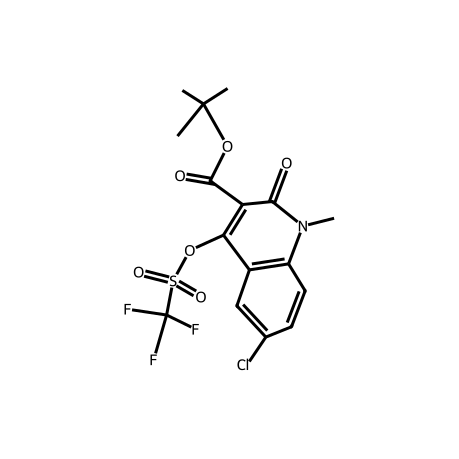 Cn1c(=O)c(C(=O)OC(C)(C)C)c(OS(=O)(=O)C(F)(F)F)c2cc(Cl)ccc21